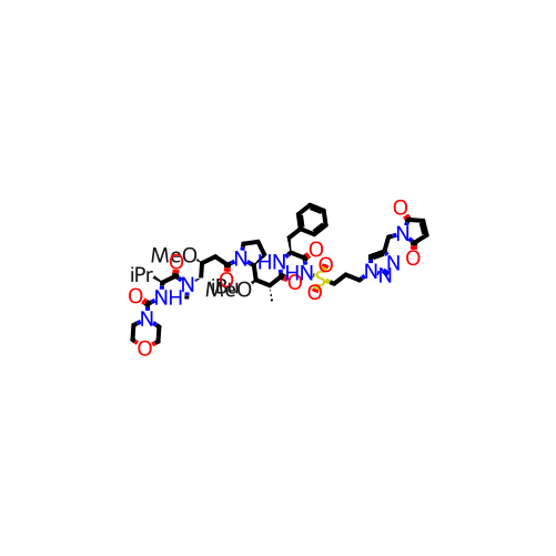 CC[C@H](C)[C@@H]([C@@H](CC(=O)N1CCC[C@H]1[C@H](OC)[C@@H](C)C(=O)N[C@@H](Cc1ccccc1)C(=O)NS(=O)(=O)CCCn1cc(CN2C(=O)C=CC2=O)nn1)OC)N(C)C(=O)[C@@H](NC(=O)N1CCOCC1)C(C)C